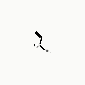 C=C[SiH2][SiH3]